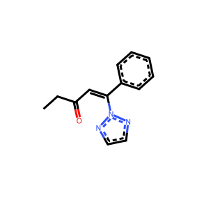 CCC(=O)C=C(c1ccccc1)n1nccn1